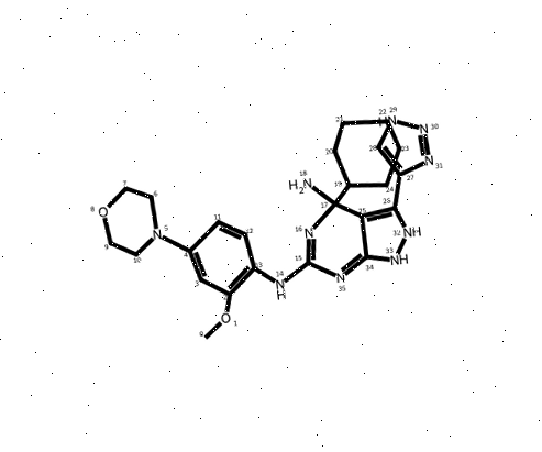 COc1cc(N2CCOCC2)ccc1NC1=NC(N)(C2CCCCC2)C2=C(c3c[nH]nn3)NNC2=N1